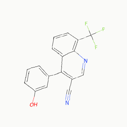 N#Cc1cnc2c(C(F)(F)F)cccc2c1-c1cccc(O)c1